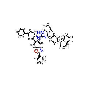 C1=CC2=C(c3ccc(-c4cccc5ccccc45)cc3)N=C(n3c4ccc(-c5ccccc5)cc4c4cc5oc(-c6ccccc6)nc5cc43)NC2C=C1